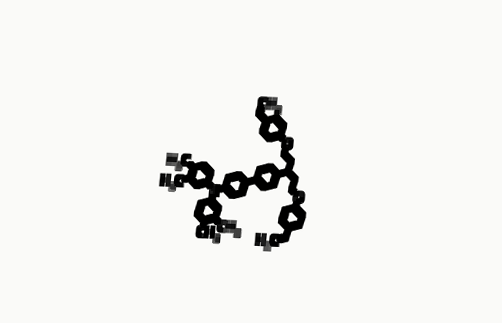 C=Cc1ccc(OCCC(CCOc2ccc(C=C)cc2)c2ccc(-c3ccc(N(c4ccc(C)c(C)c4)c4ccc(C)c(C)c4)cc3)cc2)cc1